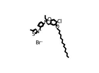 CCCCCCCCCCCCCCOc1cc(CN(C(=O)CC)c2cccc(C[n+]3csc(C)c3)c2)ccc1Cl.[Br-]